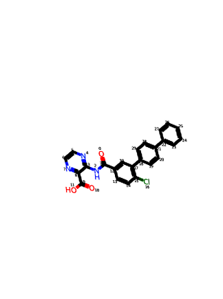 O=C(Nc1nccnc1C(=O)O)c1ccc(Cl)c(-c2ccc(-c3ccccc3)cc2)c1